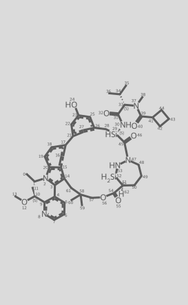 CCn1c(-c2cccnc2[C@H](C)OC)c2c3cc(ccc31)-c1cc(O)cc(c1)C[Si@H](NC(=O)[C@H](C(C)C)N(C)C(=O)C1CCC1)C(=O)N1CCC[C@H]([SiH2]N1)C(=O)OCC(C)(C)C2